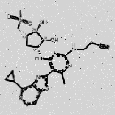 C#CCCNc1nc(C)c(-c2nc3c(C4CC4)nccc3s2)c(N[C@@H]2C[C@H](CS(C)(=O)=O)[C@@H](O)[C@H]2O)n1